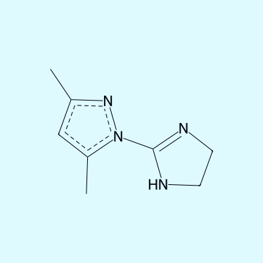 Cc1cc(C)n(C2=NCCN2)n1